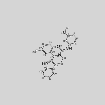 COc1cccc(NC(=O)N2CCc3c([nH]c4ncccc34)C2c2cccc(F)c2)c1